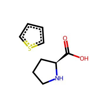 O=C(O)[C@@H]1CCCN1.c1ccsc1